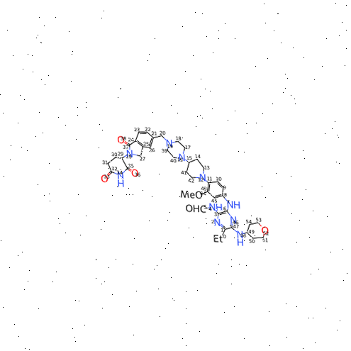 CCc1nc(NC=O)c(Nc2ccc(N3CCC(N4CCN(Cc5ccc6c(c5)CN(C5CCC(=O)NC5=O)C6=O)CC4)CC3)c(OC)c2)nc1NC1CCOCC1